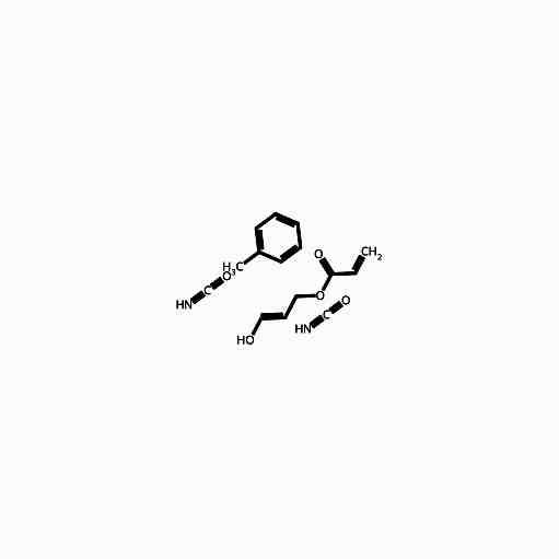 C=CC(=O)OCC=CO.Cc1ccccc1.N=C=O.N=C=O